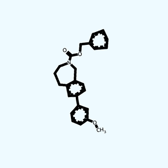 COc1cccc(-c2ccc3c(c2)CCCN(C(=O)OCc2ccccc2)C3)c1